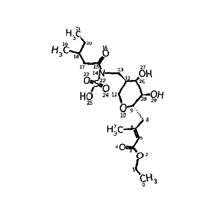 CCOC(=O)/C=C(\C)C[C@@H]1OC[C@@H](CN(C(=O)CC(C)CC)S(=O)(=O)O)[C@@H](O)[C@H]1O